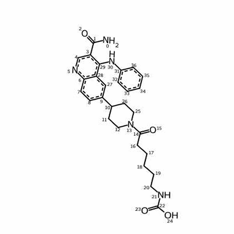 NC(=O)c1cnc2ccc(C3CCN(C(=O)CCCCCNC(=O)O)CC3)cc2c1Nc1ccccc1